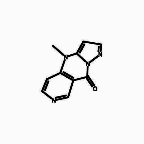 Cn1c2ccncc2c(=O)n2nccc12